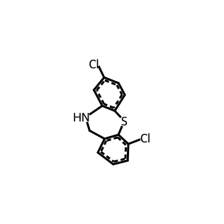 Clc1ccc2c(c1)NCc1cccc(Cl)c1S2